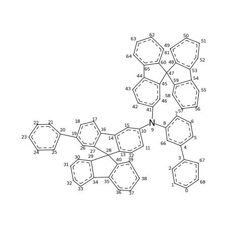 c1ccc(-c2cccc(N(c3ccc4c(c3)-c3ccc(-c5ccccc5)cc3C43c4ccccc4-c4ccccc43)c3ccc4c(c3)C3(c5ccccc5-c5ccccc53)c3ccccc3-4)c2)cc1